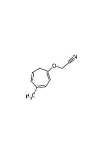 CC1=CC=C(OCC#N)CC=C1